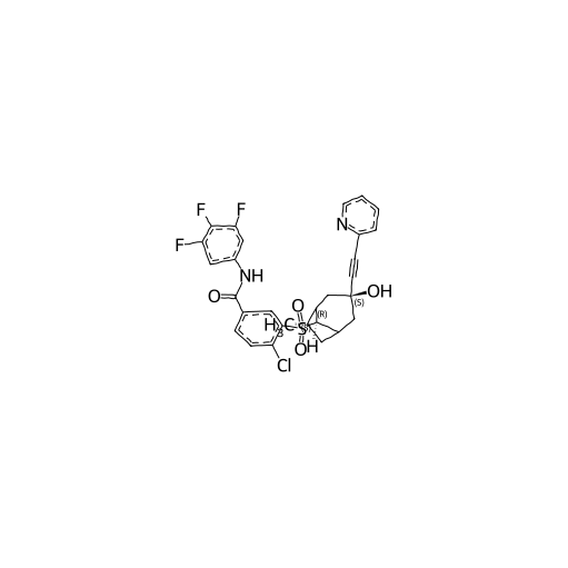 C[C@H]1CC2C[C@@](O)(C#Cc3ccccn3)CC1[C@@H]2S(=O)(=O)c1cc(C(=O)Nc2cc(F)c(F)c(F)c2)ccc1Cl